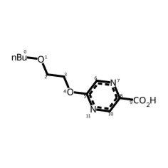 CCCCOCCOc1cnc(C(=O)O)cn1